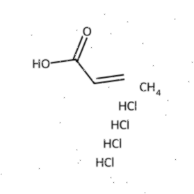 C.C=CC(=O)O.Cl.Cl.Cl.Cl